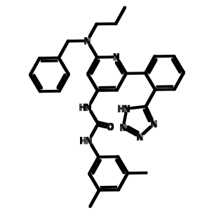 CCCN(Cc1ccccc1)c1cc(NC(=O)Nc2cc(C)cc(C)c2)cc(-c2ccccc2-c2nnn[nH]2)n1